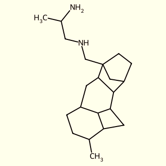 CC(N)CNCC12CCC(C1)C1C3CC4C(C)CCC(CC12)C43